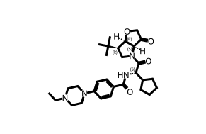 CCN1CCN(c2ccc(C(=O)N[C@H](C(=O)N3C[C@@H](C(C)(C)C)[C@H]4OCC(=O)[C@H]43)C3CCCC3)cc2)CC1